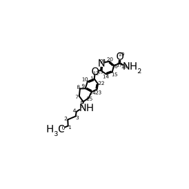 CCCCCNC1CCc2cc(Oc3ccc(C(N)=O)cn3)ccc2C1